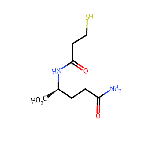 NC(=O)CC[C@H](NC(=O)CCS)C(=O)O